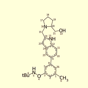 Cc1cc(ONC(C)(C)C)cc(-c2ccc3[nH]c(CN4CCCC4CO)cc3c2)c1